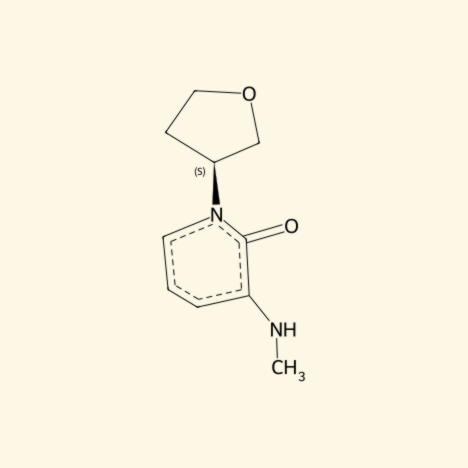 CNc1cccn([C@H]2CCOC2)c1=O